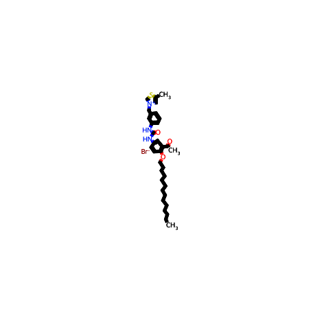 CCCCCCCCCCCCCCOc1ccc(NC(=O)Nc2cccc(C[n+]3csc(C)c3)c2)cc1C(C)=O.[Br-]